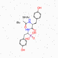 CC[C@H](C)[C@H](NC(C)=O)C(=O)N[C@@H](Cc1ccc(O)cc1)C(=O)NC(Cc1ccc(O)cc1)P(=O)(O)O